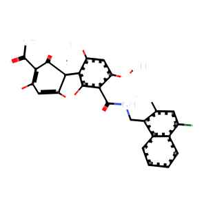 COc1cc(O)c2c(c1C(=O)NCc1c(C)cc(Cl)c3ccccc13)OC1=CC(O)=C(C(C)=O)C(=O)[C@]12C